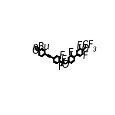 CCCCOc1ccc(C#Cc2ccc(C(F)(F)Oc3ccc(-c4cc(F)c(OC(F)(F)F)c(F)c4)c(F)c3)c(F)c2)cc1